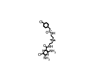 C[N+](C)(CCNC(=O)c1nc(Cl)c(N)nc1N)CCN[S+]([O-])Cc1ccc(Cl)cc1